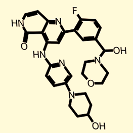 O=c1[nH]ccc2nc(-c3cc(C(O)N4CCOCC4)ccc3F)cc(Nc3ccc(N4CCC(O)CC4)cn3)c12